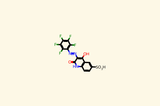 O=c1[nH]c2ccc(S(=O)(=O)O)cc2c(O)c1/N=N/c1c(F)c(F)c(F)c(F)c1F